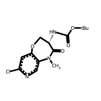 CN1C(=O)[C@@H](NC(=O)OC(C)(C)C)COc2cc(Cl)ncc21